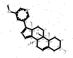 COc1cncc(C2=CC=C3[C@@H]4CC=C5C[C@@H](C)CC[C@]5(C)[C@H]4CC[C@]23C)c1